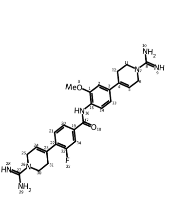 COc1cc(C2=CCN(C(=N)N)CC2)ccc1NC(=O)c1ccc(C2=CCN(C(=N)N)CC2)c(F)c1